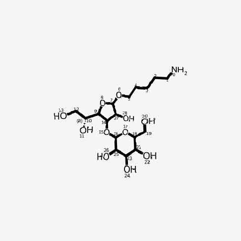 NCCCCCOC1OC([C@H](O)CO)C(OC2OC(CO)C(O)C(O)C2O)C1O